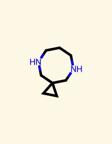 C1CNCC2(CC2)CNC1